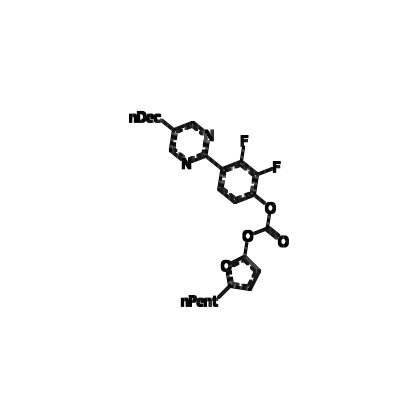 CCCCCCCCCCc1cnc(-c2ccc(OC(=O)Oc3ccc(CCCCC)o3)c(F)c2F)nc1